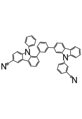 N#Cc1cccc(-n2c3ccccc3c3ccc(-c4cccc(-c5cccc6c7cc(C#N)ccc7n(-c7ccccc7)c56)c4)cc32)c1